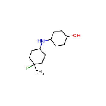 CC1(F)CCC(NC2CCC(O)CC2)CC1